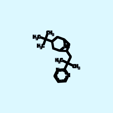 CC(C)(CC1CC2CC(C(C)(C)C)CC1N2)c1ncccn1